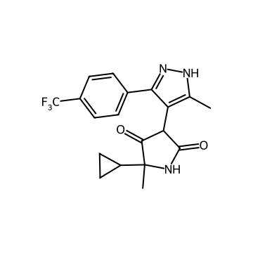 Cc1[nH]nc(-c2ccc(C(F)(F)F)cc2)c1C1C(=O)NC(C)(C2CC2)C1=O